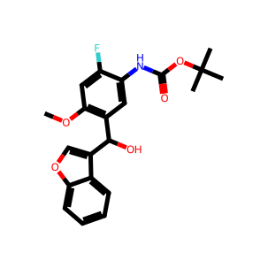 COc1cc(F)c(NC(=O)OC(C)(C)C)cc1C(O)c1coc2ccccc12